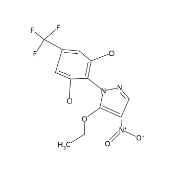 CCOc1c([N+](=O)[O-])cnn1-c1c(Cl)cc(C(F)(F)F)cc1Cl